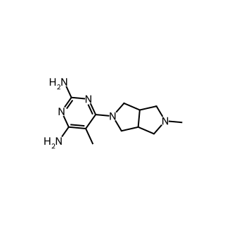 Cc1c(N)nc(N)nc1N1CC2CN(C)CC2C1